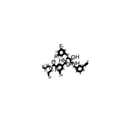 C#Cc1cccc(CNC[C@@H](O)[C@H](Cc2cc(F)cc(F)c2)NC(=O)c2cc(C)nc(C(=O)N(CCC)CCC)c2)c1